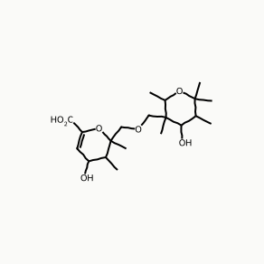 CC1C(O)C(C)(COCC2(C)OC(C(=O)O)=CC(O)C2C)C(C)OC1(C)C